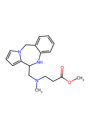 COC(=O)CCN(C)CC1Nc2ccccc2Cn2cccc21